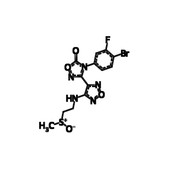 C[S+]([O-])CCNc1nonc1-c1noc(=O)n1-c1ccc(Br)c(F)c1